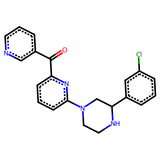 O=C(c1cccnc1)c1cccc(N2CCNC(c3cccc(Cl)c3)C2)n1